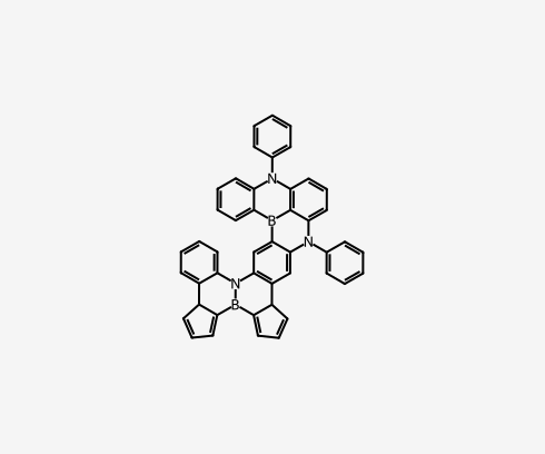 C1=CC2C(=C1)B1C3=CC=CC3c3cc4c(cc3N1c1ccccc12)B1c2ccccc2N(c2ccccc2)c2cccc(c21)N4c1ccccc1